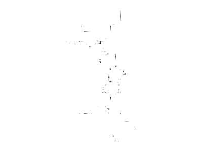 CCC[CH2][Sn]([CH2]CCC)([CH2]CCC)[c]1cc2sc3c[c]([Sn]([CH2]CCC)([CH2]CCC)[CH2]CCC)sc3c2s1